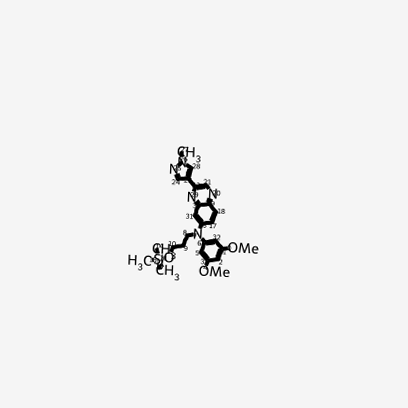 COc1cc(OC)cc(N(CCCO[Si](C)(C)C)c2ccc3ncc(-c4cnn(C)c4)nc3c2)c1